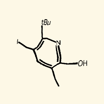 Cc1cc(I)c(C(C)(C)C)nc1O